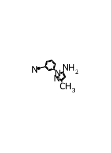 Cc1cc(N)n(-c2cccc(C#N)c2)n1